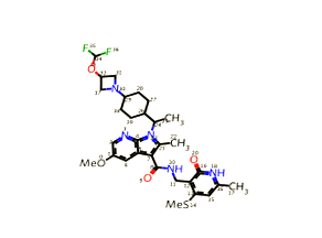 COc1cnc2c(c1)c(C(=O)NCc1c(SC)cc(C)[nH]c1=O)c(C)n2C(C)C1CCC(N2CC(OC(F)F)C2)CC1